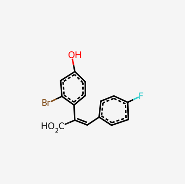 O=C(O)C(=Cc1ccc(F)cc1)c1ccc(O)cc1Br